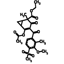 CCOC(=O)C1(C)C(=O)C(C(=O)c2ccc(S(C)(=O)=O)c(OC)c2C)=C(OC(C)=O)C2CC21